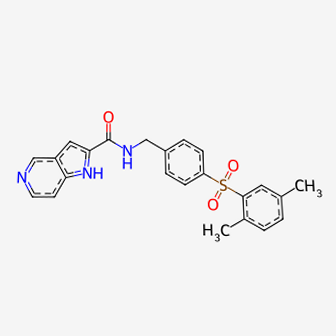 Cc1ccc(C)c(S(=O)(=O)c2ccc(CNC(=O)c3cc4cnccc4[nH]3)cc2)c1